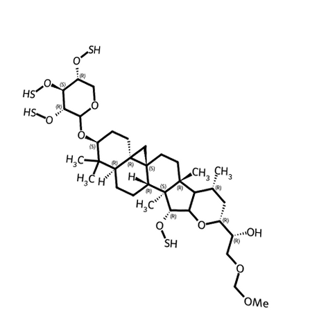 COCOC[C@@H](O)[C@H]1C[C@@H](C)C2C(O1)[C@H](OS)[C@@]1(C)[C@@H]3CC[C@H]4C(C)(C)[C@@H](OC5OC[C@@H](OS)[C@H](OS)[C@H]5OS)CC[C@@]45C[C@@]35CC[C@]21C